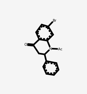 CC(=O)N1c2cc(Br)ccc2C(=O)CC1c1ccccc1